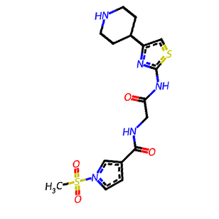 CS(=O)(=O)n1ccc(C(=O)NCC(=O)Nc2nc(C3CCNCC3)cs2)c1